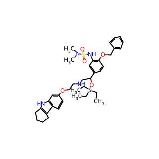 CC[Si](CC)(CC)OC(CNCCOc1ccc2c3c([nH]c2c1)CCCC3)c1ccc(OCc2ccccc2)c(NS(=O)(=O)N(C)C)c1